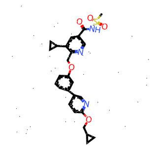 CS(=O)(=O)NC(=O)c1cnc(COc2cccc(-c3ccc(OCC4CC4)nc3)c2)c(C2CC2)c1